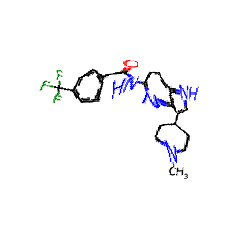 CN1CCC(c2c[nH]c3ccc(NC(=O)c4ccc(C(F)(F)F)cc4)nc23)CC1